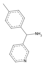 Cc1ccc(C(N)c2cccnc2)cc1